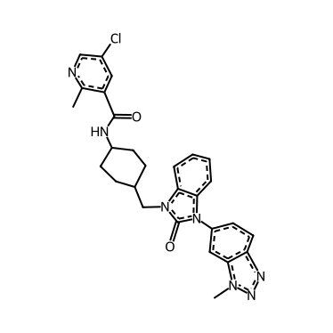 Cc1ncc(Cl)cc1C(=O)NC1CCC(Cn2c(=O)n(-c3ccc4nnn(C)c4c3)c3ccccc32)CC1